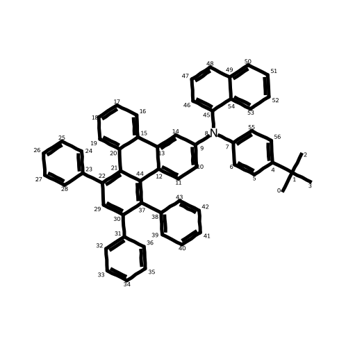 CC(C)(C)c1ccc(N(c2ccc3c(c2)c2ccccc2c2c(-c4ccccc4)cc(-c4ccccc4)c(-c4ccccc4)c32)c2cccc3ccccc23)cc1